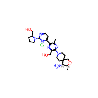 Cc1nc(N2CCC3(CC2)CO[C@@H](C)[C@H]3N)c(CO)nc1C1=CC=NC(N2CCCC2CO)N1Cl